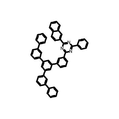 c1ccc(-c2cccc(-c3cc(-c4cccc(-c5ccccc5)c4)cc(-c4cccc(-c5nc(-c6ccccc6)nc(-c6ccc7ccccc7c6)n5)c4)c3)c2)cc1